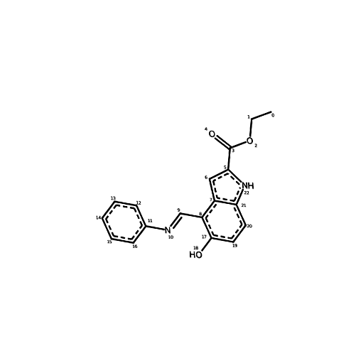 CCOC(=O)c1cc2c(/C=N/c3ccccc3)c(O)ccc2[nH]1